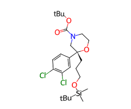 CC(C)(C)OC(=O)N1CCO[C@](CCCO[Si](C)(C)C(C)(C)C)(c2ccc(Cl)c(Cl)c2)C1